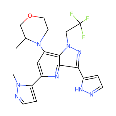 CC1COCCN1c1cc(-c2ccnn2C)nc2c(-c3ccn[nH]3)nn(CC(F)(F)F)c12